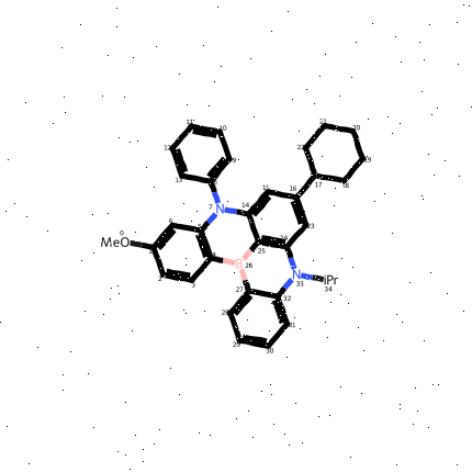 COc1ccc2c(c1)N(c1ccccc1)c1cc(C3CCCCC3)cc3c1B2c1ccccc1N3C(C)C